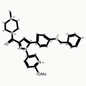 COc1ccc(-n2nc(C(=O)N3CCN(C)CC3)cc2-c2ccc(OCc3ccccc3)cc2)cn1